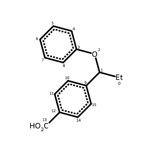 CCC(Oc1ccccc1)c1ccc(C(=O)O)cc1